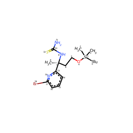 CC(C)(C)[Si](C)(C)OCC[C@](C)(NC(N)=S)c1cccc(Br)n1